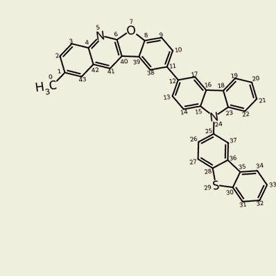 Cc1ccc2nc3oc4ccc(-c5ccc6c(c5)c5ccccc5n6-c5ccc6sc7ccccc7c6c5)cc4c3cc2c1